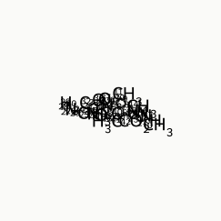 Cc1cc2cc(C(c3ccc(C)c(CN4CC5(CC5)Oc5nc(OCCN6CCCC6)c(C)cc5S4(=O)=O)c3)C(C)(C)C(=O)O)n(C)c2nn1